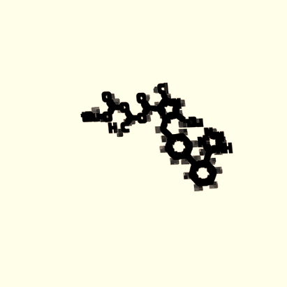 CCCCc1nc(Cl)c(C(=O)OC(C)OC(=O)OC(C)(C)C)n1Cc1ccc(-c2ccccc2-c2nnn[nH]2)cc1